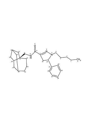 CCCCCN1N=C(C(=O)NC[C@@]23CCCC4CC(CC2C4)C3)CC1c1ccccc1